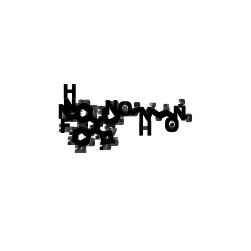 CN(C)C(=O)C=CCNCCOc1ccc(C(=C(c2ccccc2)C2CCC2)c2ccc3[nH]nc(F)c3c2)cn1